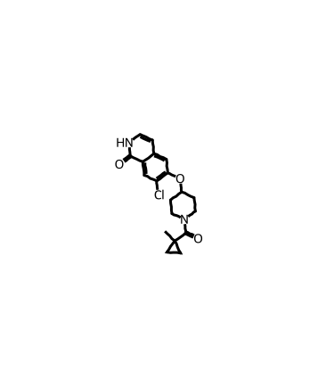 CC1(C(=O)N2CCC(Oc3cc4cc[nH]c(=O)c4cc3Cl)CC2)CC1